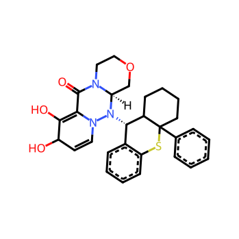 O=C1C2=C(O)C(O)C=CN2N([C@H]2c3ccccc3SC3(c4ccccc4)CCCCC23)[C@@H]2COCCN12